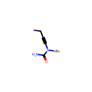 CCCCN(C#CCI)C(N)=O